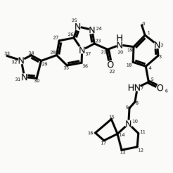 Cc1ncc(C(=O)NCCN2CCCC23CCC3)cc1NC(=O)c1nnc2cc(-c3cnn(C)c3)ccn12